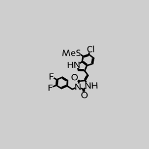 CSc1c(Cl)ccc2c(C=C3NC(=O)N(Cc4ccc(F)c(F)c4)C3=O)c[nH]c12